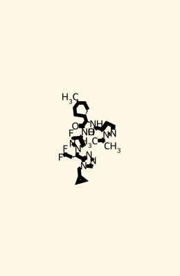 CC(C)n1nccc1C(=O)N[C@H](C(=O)Nc1cn([C@@H](CC(F)F)c2nncn2CC2CC2)nc1F)[C@H]1CC[C@H](C)CC1